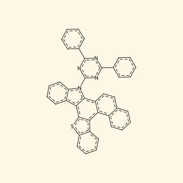 c1ccc(-c2nc(-c3ccccc3)nc(-n3c4ccccc4c4c5sc6ccccc6c5c5c6ccccc6ccc5c43)n2)cc1